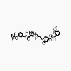 COc1cccc(CC(=O)Nc2ccn(CCC(F)Cn3cc(C(=O)NCc4cccc(OC(F)(F)F)c4)nn3)c(=O)c2)n1